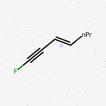 [CH2]CC/C=C/C#CF